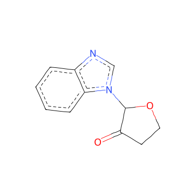 O=C1CCOC1n1cnc2ccccc21